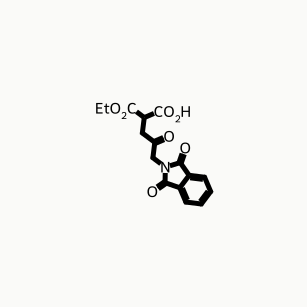 CCOC(=O)C(CC(=O)CN1C(=O)c2ccccc2C1=O)C(=O)O